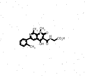 Cc1ccccc1-c1cc2c(O)c(C(=O)NCC(=O)O)c(=O)n(C)c2c(C(F)(F)F)n1